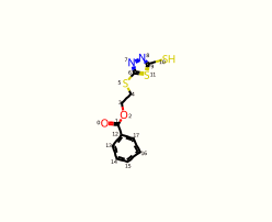 O=C(OCCSc1nnc(S)s1)c1ccccc1